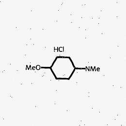 CNC1CCC(OC)CC1.Cl